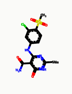 CSc1nc(Nc2ccc(S(C)(=O)=O)c(Cl)c2)c(C(N)=O)c(=O)[nH]1